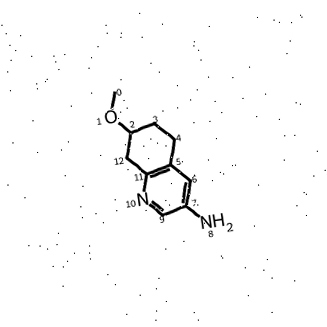 COC1CCc2cc(N)cnc2C1